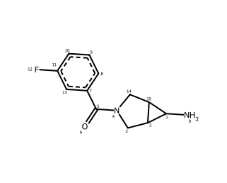 NC1C2CN(C(=O)c3cccc(F)c3)CC12